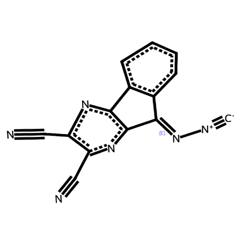 [C-]#[N+]/N=C1\c2ccccc2-c2nc(C#N)c(C#N)nc21